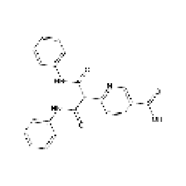 O=C(O)c1ccc(C(C(=O)Nc2ccccc2)C(=O)Nc2ccccc2)nc1